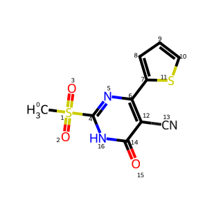 CS(=O)(=O)c1nc(-c2cccs2)c(C#N)c(=O)[nH]1